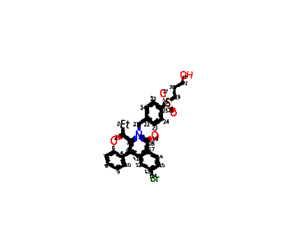 CCC(=O)c1c(-c2ccccc2)c2cc(Br)ccc2c(=O)n1Cc1ccc(S(=O)(=O)CCCO)cc1